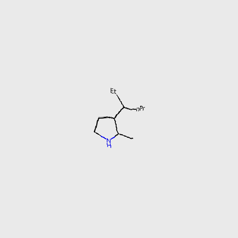 CCCC(CC)C1CCNC1C